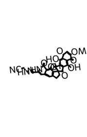 COC1=CC(=O)c2c(O)c3c(c(O)c2C1=O)C(=O)C1(CCc2cc4cc(/C=N/NCC#N)[nH]c(=O)c4c(O)c21)C3=O